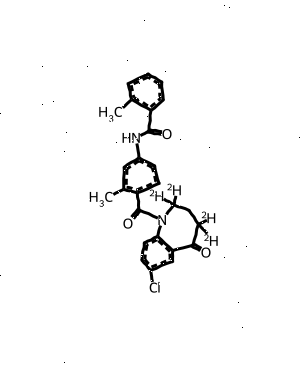 [2H]C1([2H])CC([2H])([2H])N(C(=O)c2ccc(NC(=O)c3ccccc3C)cc2C)c2ccc(Cl)cc2C1=O